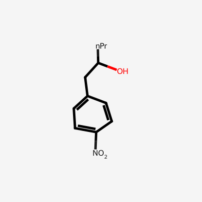 CCCC(O)Cc1ccc([N+](=O)[O-])cc1